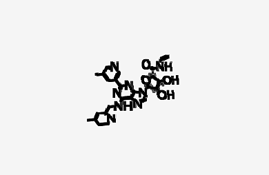 C=CNC(=O)[C@H]1O[C@@H](n2cnc3c(NCc4cc(C)ccn4)nc(-c4cncc(C)c4)nc32)[C@H](O)[C@@H]1O